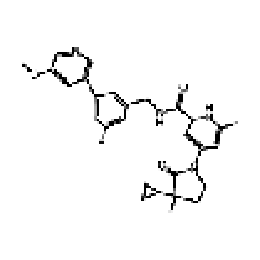 COc1cncc(-c2cc(F)cc(CNC(=O)C3C=C(N4CCC(C)(C5CC5)C4=O)C=C(C)N3)c2)c1